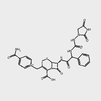 NC(=O)c1cc[n+](CC2=C(C(=O)O)N3C(=O)[C@H](NC(=O)C(NC(=O)NN4CC(=O)NC4=O)c4ccccc4)C3SC2)cc1